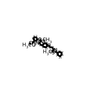 COC(=O)c1ccccc1NC(Cc1ccc(OCCc2nc(-c3ccccc3)sc2C)cc1)C(=O)OC